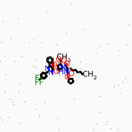 C=CCCCCC[C@H](NC(=O)OC1CCCC1)C(=O)N1C[C@H](Oc2nc(-c3ccc(C(F)(F)F)cc3)nc3c2oc2ccccc23)C[C@H]1C(=O)OC